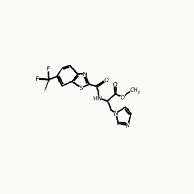 COC(=O)C(Cn1ccnc1)NC(=O)c1nc2ccc(C(F)(F)F)cc2s1